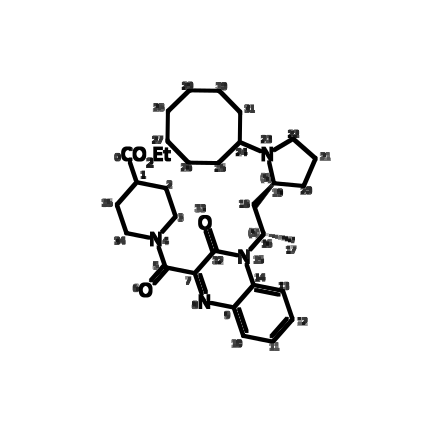 CCOC(=O)C1CCN(C(=O)c2nc3ccccc3n([C@@H](C)C[C@@H]3CCCN3C3CCCCCCC3)c2=O)CC1